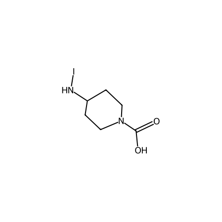 O=C(O)N1CCC(NI)CC1